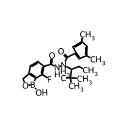 CCC(N(NC(=O)c1ccc2c(c1F)B(O)OC2)C(=O)c1cc(C)cc(C)c1)C(C)(C)C